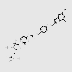 COc1cc(C)c2oc(COc3ccc(COC(=O)Nc4ccn([C@@H]5O[C@H](COP(=O)(O)O)[C@@H](O)C5(F)F)c(=O)n4)cc3)cc2c1